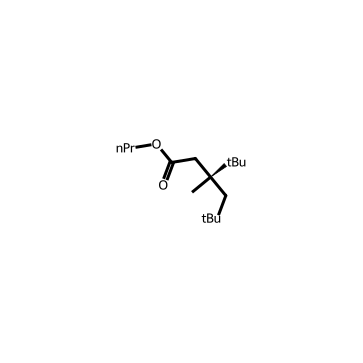 CCCOC(=O)C[C@@](C)(CC(C)(C)C)C(C)(C)C